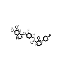 COc1cc2nccc(Oc3ccc(NC(=O)c4nccn(-c5ccc(F)cc5)c4=O)cc3F)c2nc1OC